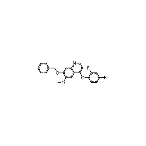 COc1cc2c(Oc3ccc(Br)cc3F)ccnc2cc1OCc1ccccc1